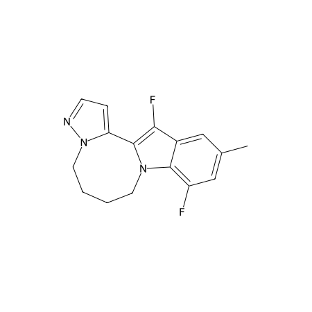 Cc1cc(F)c2c(c1)c(F)c1n2CCCCn2nccc2-1